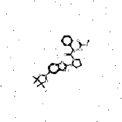 COC(=O)N[C@H](C(=O)N1CCC[C@H]1c1nc2ccc(B3OC(C)(C)C(C)(C)O3)cc2[nH]1)c1ccccc1